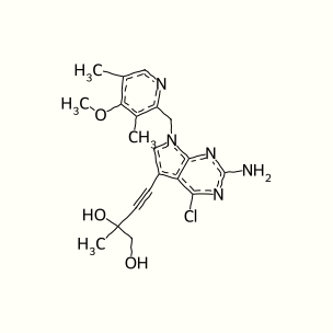 COc1c(C)cnc(Cn2cc(C#CC(C)(O)CO)c3c(Cl)nc(N)nc32)c1C